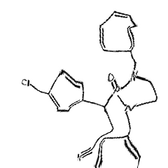 N#CCC(c1ccc(Cl)cc1)P1(=O)N(c2ccccc2)CCN1c1ccccc1